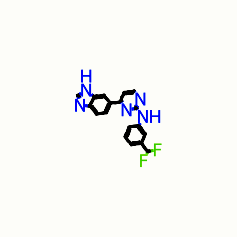 FC(F)c1cccc(Nc2nccc(-c3ccc4nc[nH]c4c3)n2)c1